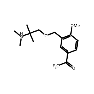 COc1ccc(C(=O)C(F)(F)F)cc1COCC(C)(C)[SiH](C)C